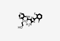 Nc1sc(-c2c(F)cccc2F)nc1C(=O)Nc1cncnc1OCCO